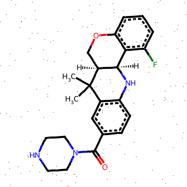 CC1(C)c2cc(C(=O)N3CCNCC3)ccc2N[C@@H]2c3c(F)cccc3OC[C@@H]21